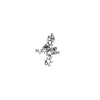 CCN1C2(CCN(CC3CCOCC3)CC2)C(=O)N(c2ccc(C(F)(F)F)cc2)S1(=O)=O.O=CO